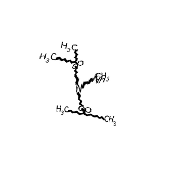 CCCCCCCCC(CCCCCC)C(=O)OCCCCCCN(CCCCCCOC(=O)C(CCCCCC)CCCCCCCC)CCCCNC